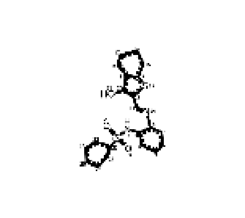 O=S(=O)(Nc1ccccc1/N=C/c1sc2ccccc2c1O)c1ccccc1